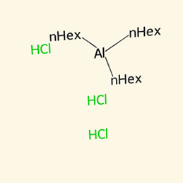 CCCCC[CH2][Al]([CH2]CCCCC)[CH2]CCCCC.Cl.Cl.Cl